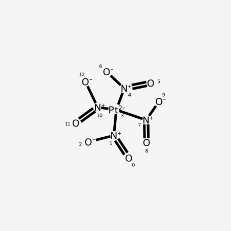 O=[N+]([O-])[Pt-2]([N+](=O)[O-])([N+](=O)[O-])[N+](=O)[O-]